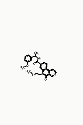 COCCn1c(=O)c2cnccc2c2ccc(C(=O)NC(C)c3cccc(OC)c3)cc21